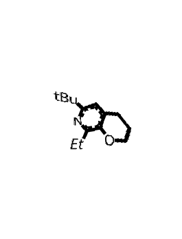 CCc1nc(C(C)(C)C)cc2c1OCCC2